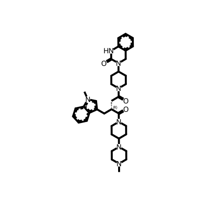 CN1CCN(C2CCN(C(=O)[C@@H](CC(=O)N3CCC(N4Cc5ccccc5NC4=O)CC3)Cc3cn(C)c4ccccc34)CC2)CC1